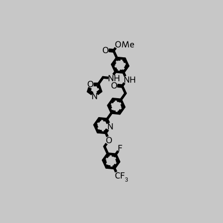 COC(=O)c1ccc(NC(=O)Cc2ccc(-c3cccc(OCc4ccc(C(F)(F)F)cc4F)n3)cc2)c(NCc2cnco2)c1